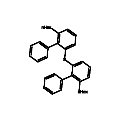 CCCCCCc1cccc(Sc2cccc(CCCCCC)c2-c2ccccc2)c1-c1ccccc1